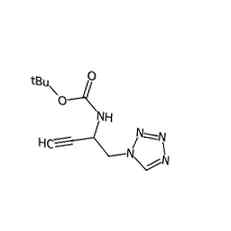 C#CC(Cn1cnnn1)NC(=O)OC(C)(C)C